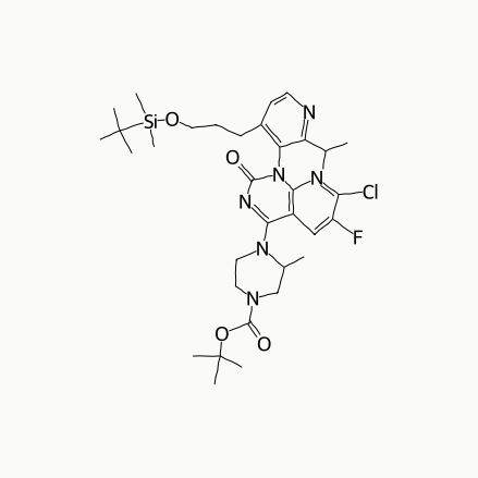 CC(C)c1nccc(CCCO[Si](C)(C)C(C)(C)C)c1-n1c(=O)nc(N2CCN(C(=O)OC(C)(C)C)CC2C)c2cc(F)c(Cl)nc21